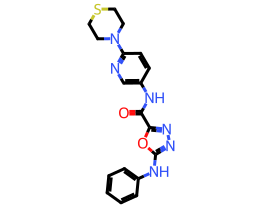 O=C(Nc1ccc(N2CCSCC2)nc1)c1nnc(Nc2ccccc2)o1